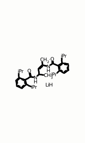 [CH2]C(=CC(C)NC(=O)c1c(C(C)C)cccc1C(C)C)NC(=O)c1c(C(C)C)cccc1C(C)C.[LiH]